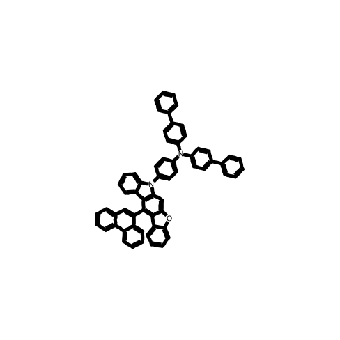 c1ccc(-c2ccc(N(c3ccc(-c4ccccc4)cc3)c3ccc(-n4c5ccccc5c5c(-c6cc7ccccc7c7ccccc67)c6c(cc54)oc4ccccc46)cc3)cc2)cc1